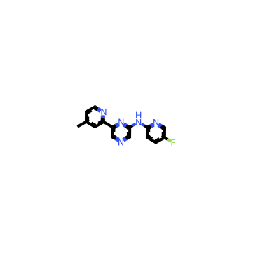 Cc1ccnc(-c2cncc(Nc3ccc(F)cn3)n2)c1